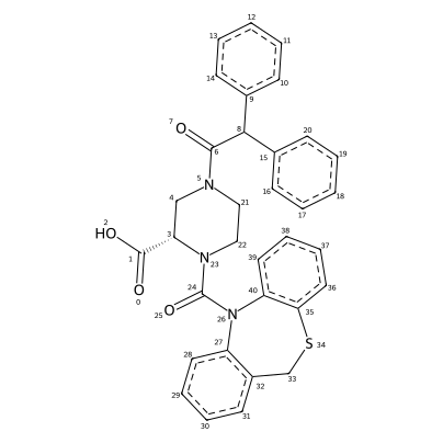 O=C(O)[C@@H]1CN(C(=O)C(c2ccccc2)c2ccccc2)CCN1C(=O)N1c2ccccc2CSc2ccccc21